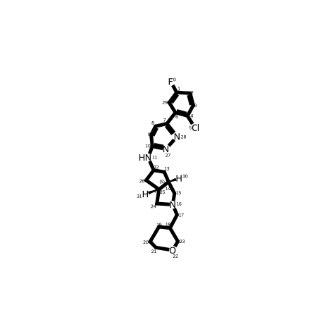 Fc1ccc(Cl)c(-c2ccc(NC3C[C@@H]4CN(CC5CCCOC5)C[C@@H]4C3)nn2)c1